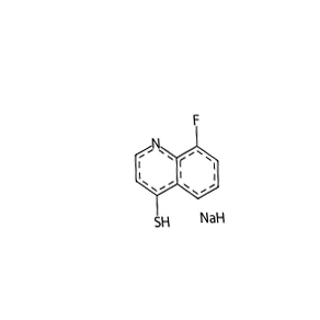 Fc1cccc2c(S)ccnc12.[NaH]